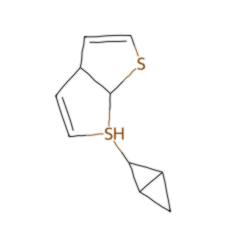 C1=CC2C=C[SH](C3C4CC43)C2S1